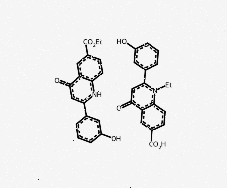 CCOC(=O)c1ccc2[nH]c(-c3cccc(O)c3)cc(=O)c2c1.CCn1c(-c2cccc(O)c2)cc(=O)c2cc(C(=O)O)ccc21